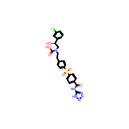 O=C(Nc1nnn[nH]1)c1ccc(S(=O)(=O)c2ccc(CCN(C[C@@H](O)c3cccc(Cl)c3)C(=O)O)cc2)cc1